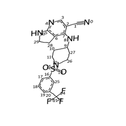 N#Cc1cnc2c(c1NC1CCN(S(=O)(=O)c3cccc(C(F)(F)F)c3)CC1)CCN2